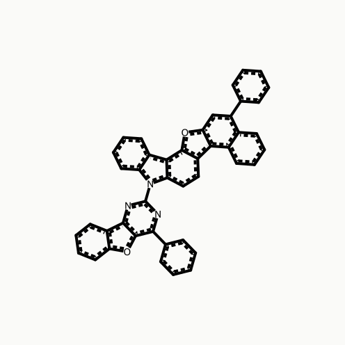 c1ccc(-c2cc3oc4c(ccc5c4c4ccccc4n5-c4nc(-c5ccccc5)c5oc6ccccc6c5n4)c3c3ccccc23)cc1